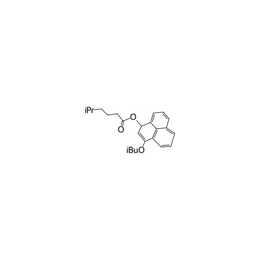 CC(C)CCCC(=O)OC1C=C(OCC(C)C)c2cccc3cccc1c23